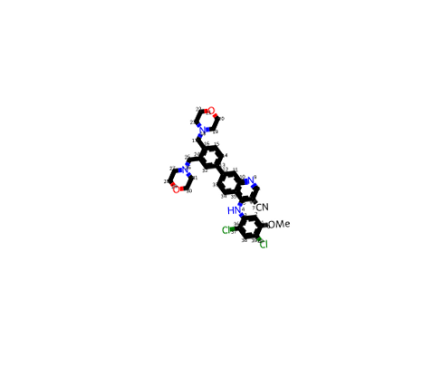 COc1cc(Nc2c(C#N)cnc3cc(-c4ccc(CN5CCOCC5)c(CN5CCOCC5)c4)ccc23)c(Cl)cc1Cl